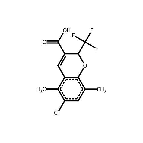 Cc1cc(Cl)c(C)c2c1OC(C(F)(F)F)C(C(=O)O)=C2